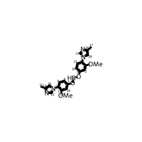 COc1cc(OBOc2ccc(-n3cnc(C)c3)c(OC)c2)ccc1-n1cnc(C)c1